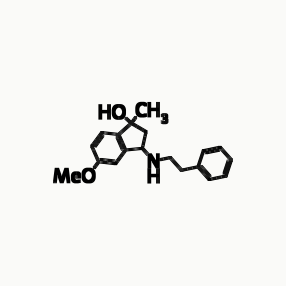 COc1ccc2c(c1)C(NCCc1ccccc1)CC2(C)O